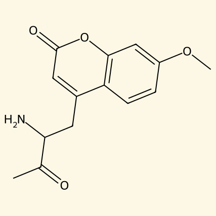 COc1ccc2c(CC(N)C(C)=O)cc(=O)oc2c1